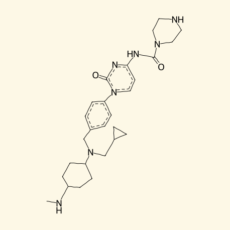 CNC1CCC(N(Cc2ccc(-n3ccc(NC(=O)N4CCNCC4)nc3=O)cc2)CC2CC2)CC1